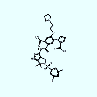 CC1(C)c2[nH]nc(NC(=O)c3cc(-n4cccc4C(=O)O)c(OCCN4CCCC4)cc3C(N)=O)c2CN1S(=O)(=O)c1cc(F)cc(F)c1